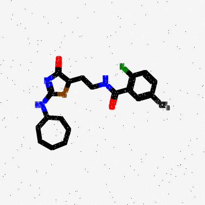 O=C(NCCC1SC(NC2CCCCCC2)=NC1=O)c1cc(C(F)(F)F)ccc1F